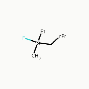 CCCC[Si](C)(F)CC